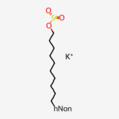 CCCCCCCCCCCCCCCCCCCO[S-](=O)=O.[K+]